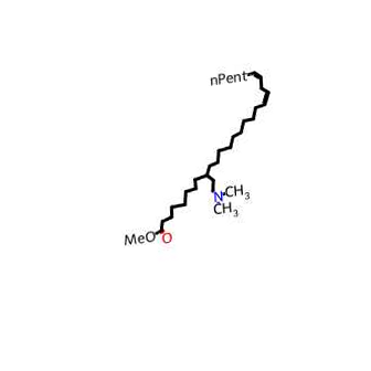 CCCCC/C=C\C/C=C\CCCCCCCCCC(CCCCCCCC(=O)OC)CCN(C)C